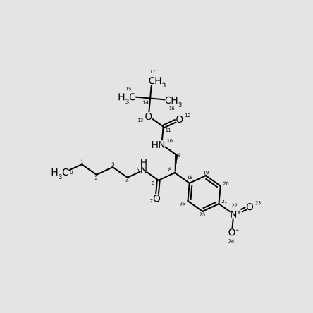 CCCCCNC(=O)[C@@H](CNC(=O)OC(C)(C)C)c1ccc([N+](=O)[O-])cc1